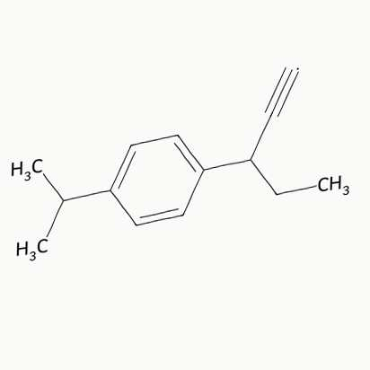 [C]#CC(CC)c1ccc(C(C)C)cc1